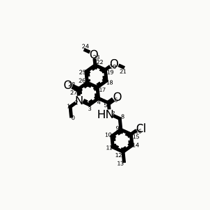 CCn1cc(C(=O)NCc2ccc(C)cc2Cl)c2cc(OC)c(OC)cc2c1=O